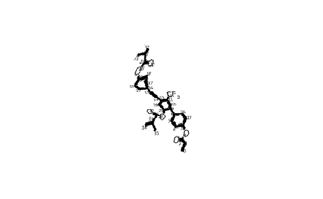 C=CC(=O)Oc1ccc(-c2cc(C(F)(F)F)c(C#Cc3ccc(OC(=O)C(=C)C)cc3)cc2OC(=O)C(=C)C)cc1